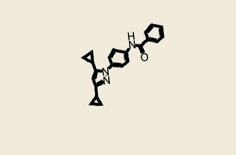 O=C(Nc1ccc(-n2nc(C3CC3)cc2C2CC2)cc1)c1ccccc1